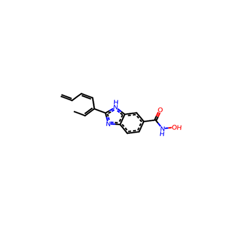 C=C/C=C\C(=C/C)c1nc2ccc(C(=O)NO)cc2[nH]1